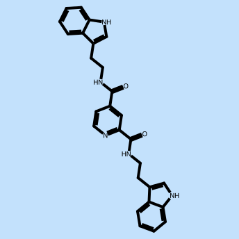 O=C(NCCc1c[nH]c2ccccc12)c1ccnc(C(=O)NCCc2c[nH]c3ccccc23)c1